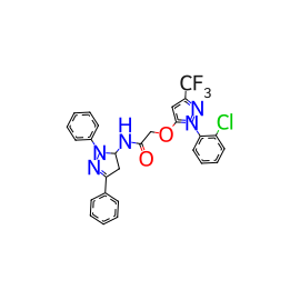 O=C(COc1cc(C(F)(F)F)nn1-c1ccccc1Cl)NC1CC(c2ccccc2)=NN1c1ccccc1